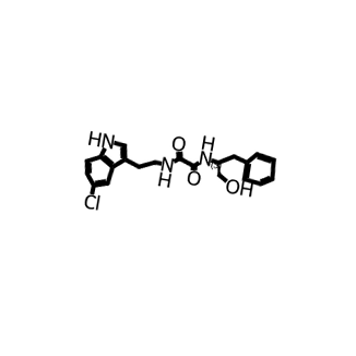 O=C(NCCc1c[nH]c2ccc(Cl)cc12)C(=O)N[C@H](CO)Cc1ccccc1